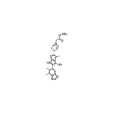 Cc1c(-c2[nH]c3sc([C@@H]4CC5CC4CN5CC(=O)OC(C)(C)C)c(C)c3c2C(C)C)cn2ncnc2c1C